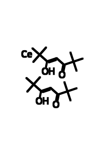 CC(C)(C)C(=O)C=C(O)C(C)(C)C.CC(C)(C)C(=O)C=C(O)C(C)(C)C.[Ce]